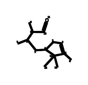 CC1=CCC(CC(C)C(C)C=O)C1(C)C